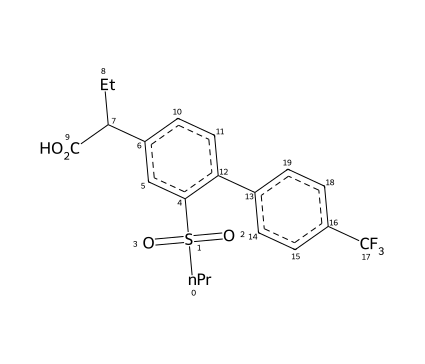 CCCS(=O)(=O)c1cc(C(CC)C(=O)O)ccc1-c1ccc(C(F)(F)F)cc1